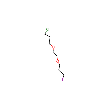 ClCCCOCCOCCCI